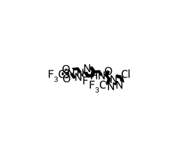 O=C(NCc1cnc(N2CCN(S(=O)(=O)C(F)(F)F)C=N2)c(F)c1)c1c(C(F)(F)F)nc2ncc(Cl)cn12